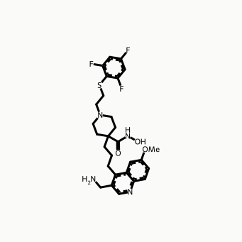 COc1ccc2ncc(CN)c(CCCC3(C(=O)NO)CCN(CCSc4c(F)cc(F)cc4F)CC3)c2c1